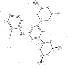 N[C@@H]1C[C@H](N)CN(c2nc(Nc3ccccc3F)nc(N3C[C@H](N)C[C@H](N)C3)n2)C1